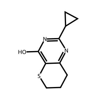 Oc1nc(C2CC2)nc2c1SCCC2